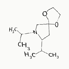 CC(C)C1CC2(CN1C(C)C)OCCO2